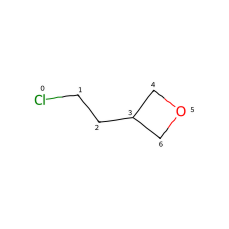 ClCCC1COC1